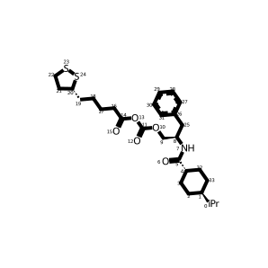 CC(C)[C@H]1CC[C@H](C(=O)N[C@@H](COC(=O)OC(=O)CCCC[C@@H]2CCSS2)Cc2ccccc2)CC1